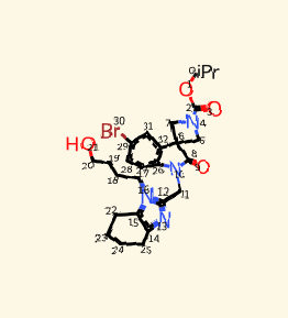 CC(C)OC(=O)N1CC2(C1)C(=O)N(Cc1nc3c(n1CCCCO)CCCC3)c1ccc(Br)cc12